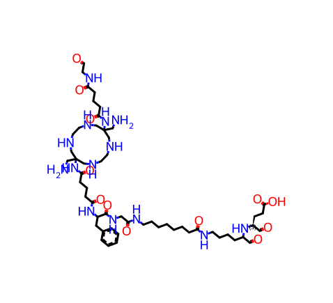 NCC1(NC(=O)CCCC(=O)NCC=O)CNCCNCC(CN)(NC(=O)CCCC(=O)NC(Cc2ccccc2)C(=O)NCC(=O)NCCCCCCCC(=O)NCCCCC(C=O)N[C@H](C=O)CCC(=O)O)CNCCNC1